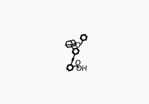 O=C(O)c1ccccc1C#Cc1ccc(OCc2ccccc2)c(C23CC4CC(CC(C4)C2)C3)c1